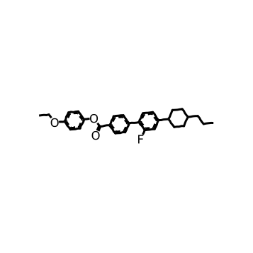 CCCC1CCC(c2ccc(-c3ccc(C(=O)Oc4ccc(OCC)cc4)cc3)c(F)c2)CC1